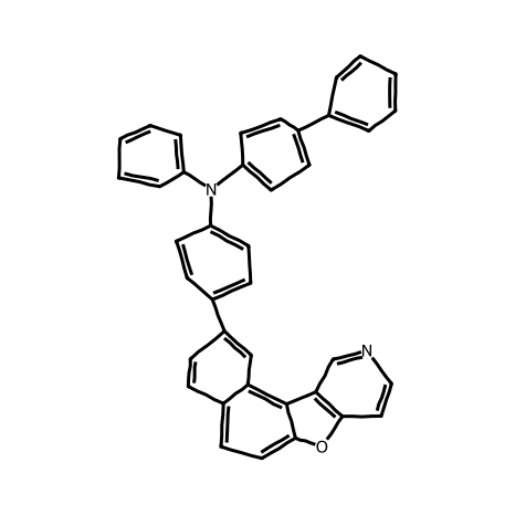 c1ccc(-c2ccc(N(c3ccccc3)c3ccc(-c4ccc5ccc6oc7ccncc7c6c5c4)cc3)cc2)cc1